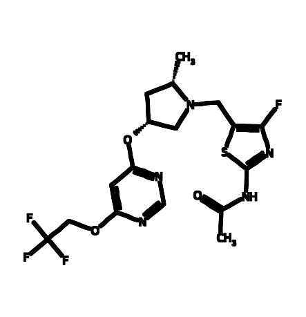 CC(=O)Nc1nc(F)c(CN2C[C@H](Oc3cc(OCC(F)(F)F)ncn3)C[C@@H]2C)s1